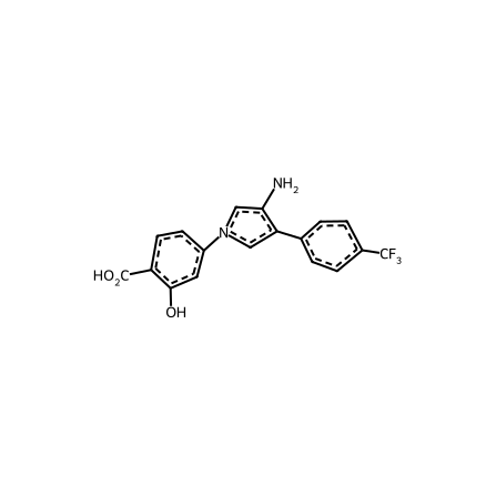 Nc1cn(-c2ccc(C(=O)O)c(O)c2)cc1-c1ccc(C(F)(F)F)cc1